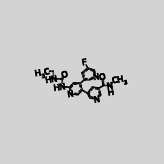 CCNC(=O)Nc1cc(-c2cncc(F)c2)c(-c2cncc(C(=O)NC)c2)cn1